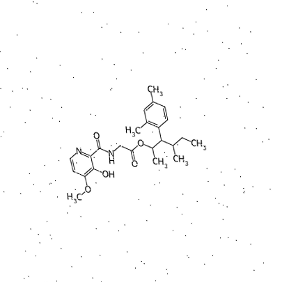 CCC(C)C(c1ccc(C)cc1C)C(C)OC(=O)CNC(=O)c1nccc(OC)c1O